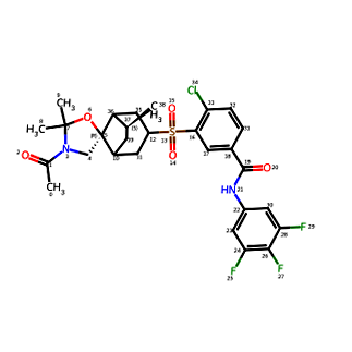 CC(=O)N1C[C@@]2(OC1(C)C)C1CC(S(=O)(=O)c3cc(C(=O)Nc4cc(F)c(F)c(F)c4)ccc3Cl)CC2[C@@H](C)C1